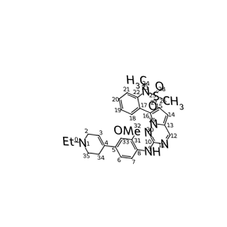 CCN1CC=C(c2ccc(Nc3ncc4ccc(-c5ccccc5N(C)S(C)(=O)=O)n4n3)c(OC)c2)CC1